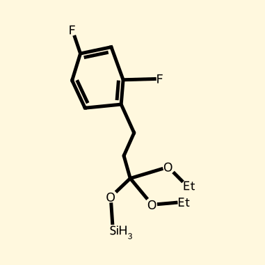 CCOC(CCc1ccc(F)cc1F)(O[SiH3])OCC